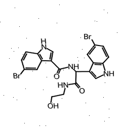 O=C(NC(C(=O)NCCO)c1c[nH]c2ccc(Br)cc12)c1c[nH]c2ccc(Br)cc12